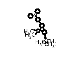 CCCCC1(CCCC)c2cc(C#C[Si](C)(C)C)ccc2-c2ccc(-c3ccc(N(c4ccccc4)c4ccccc4)cc3)cc21